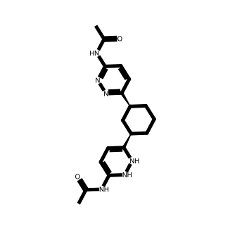 CC(=O)NC1=CC=C([C@@H]2CCC[C@H](c3ccc(NC(C)=O)nn3)C2)NN1